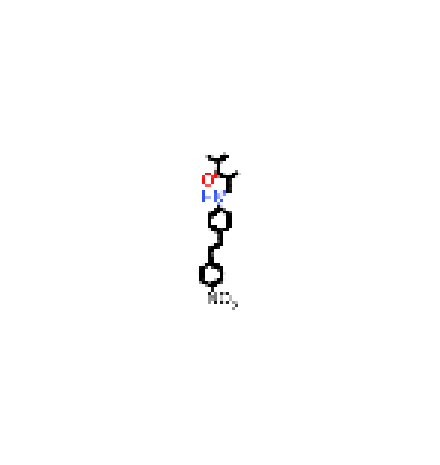 C=C(C)C(=O)C(C)CNc1ccc(/C=C/c2ccc([N+](=O)[O-])cc2)cc1